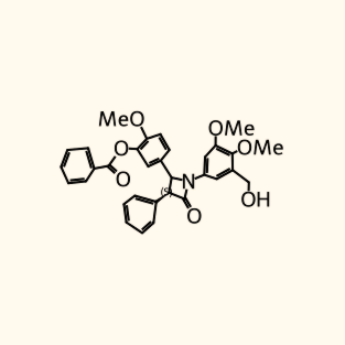 COc1ccc(C2[C@H](c3ccccc3)C(=O)N2c2cc(CO)c(OC)c(OC)c2)cc1OC(=O)c1ccccc1